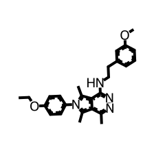 CCOc1ccc(-n2c(C)c3c(C)nnc(NCCc4cccc(OC)c4)c3c2C)cc1